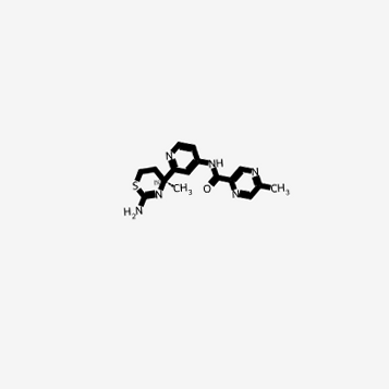 Cc1cnc(C(=O)Nc2ccnc([C@]3(C)CCSC(N)=N3)c2)cn1